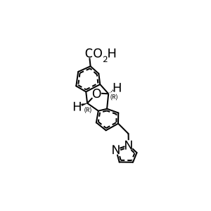 O=C(O)c1ccc2c(c1)[C@@H]1O[C@@H]2c2ccc(Cn3cccn3)cc21